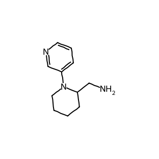 NCC1CCCCN1c1cccnc1